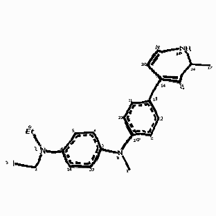 CCN(CI)c1ccc(N(C)c2ccc(C3=CC(C)NC=C3)cc2)cc1